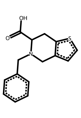 O=C(O)C1Cc2sccc2CN1Cc1ccccc1